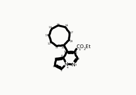 CCOC(=O)c1cnn2cccc2c1C1CCCCCCCC1